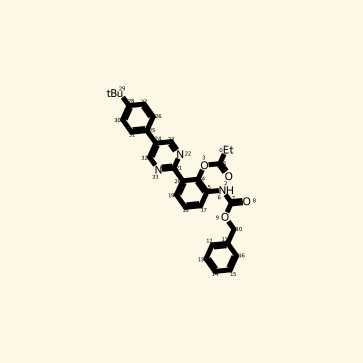 CCC(=O)Oc1c(NC(=O)OCc2ccccc2)cccc1-c1ncc(-c2ccc(C(C)(C)C)cc2)cn1